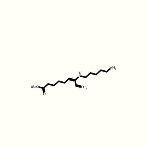 C=C/C(=C\CCCCC(=O)OC)NCCCCCN